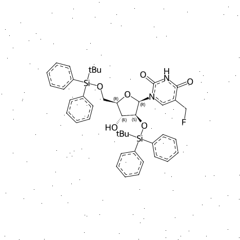 CC(C)(C)[Si](OC[C@H]1O[C@@H](n2cc(CF)c(=O)[nH]c2=O)[C@@H](O[Si](c2ccccc2)(c2ccccc2)C(C)(C)C)[C@@H]1O)(c1ccccc1)c1ccccc1